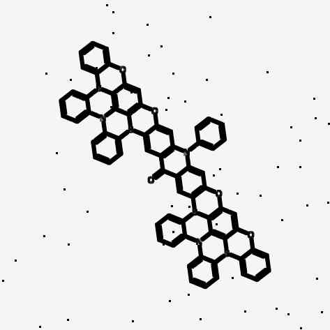 O=c1c2cc3c(cc2n(-c2ccccc2)c2cc4c(cc12)B1c2ccccc2N2c5ccccc5B5c6ccccc6Oc6cc(c1c2c65)O4)Oc1cc2c4c5c1B3c1ccccc1N5c1ccccc1B4c1ccccc1O2